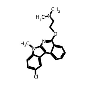 CN(C)CCOc1nc2c(c3ccccc13)c1cc(Cl)ccc1n2C